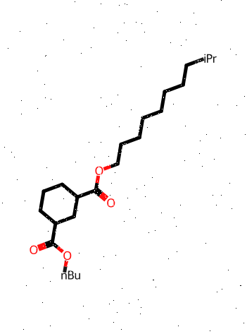 CCCCOC(=O)C1CCCC(C(=O)OCCCCCCCCC(C)C)C1